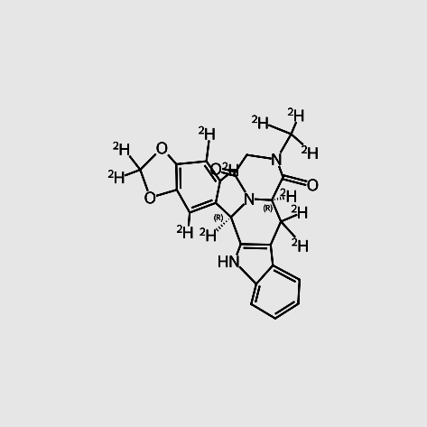 [2H]c1c([2H])c([C@]2([2H])c3[nH]c4ccccc4c3C([2H])([2H])[C@]3([2H])C(=O)N(C([2H])([2H])[2H])CC(=O)N23)c([2H])c2c1OC([2H])([2H])O2